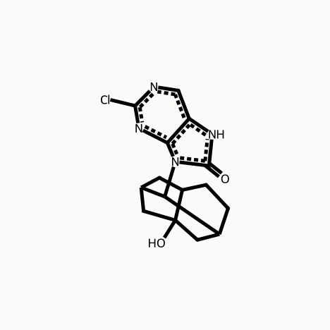 O=c1[nH]c2cnc(Cl)nc2n1C1C2CCC3CC1CC3(O)C2